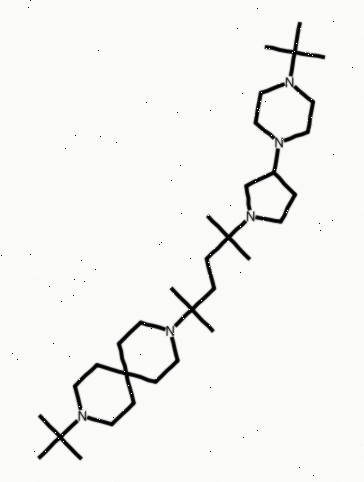 CC(C)(C)N1CCN(C2CCN(C(C)(C)CCC(C)(C)N3CCC4(CCN(C(C)(C)C)CC4)CC3)C2)CC1